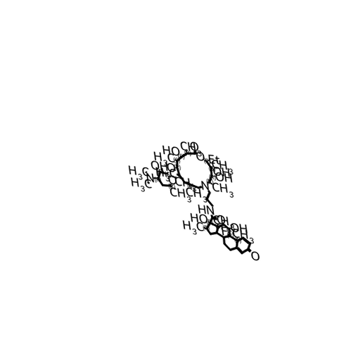 CC[C@H]1OC(=O)[C@H](C)[C@@H](O)[C@H](C)[C@@H](O[C@@H]2O[C@H](C)C[C@@H](N(C)C)[C@H]2O)C(C)(C)C[C@@H](C)CN(CCCNC(=O)[C@@]2(O)[C@H](C)CC3C4CCC5=CC(=O)C=C[C@]5(C)[C@@]4(F)[C@@H](O)C[C@@]32C)[C@H](C)[C@@H](O)[C@]1(C)O